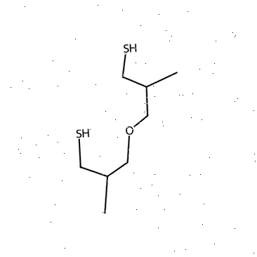 CC(CS)COCC(C)CS